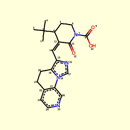 CC(C)(C)C1CCN(C(=O)O)C(=O)C1=Cc1ncn2c1CCc1ccncc1-2